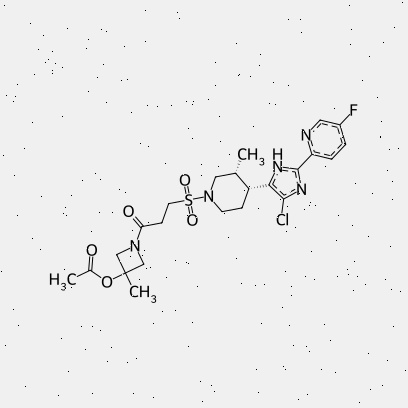 CC(=O)OC1(C)CN(C(=O)CCS(=O)(=O)N2CC[C@@H](c3[nH]c(-c4ccc(F)cn4)nc3Cl)[C@@H](C)C2)C1